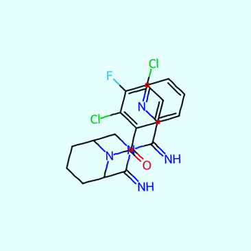 N=C(c1ccccn1)N1CC2CCCC(C1=N)N2C(=O)c1ccc(Cl)c(F)c1Cl